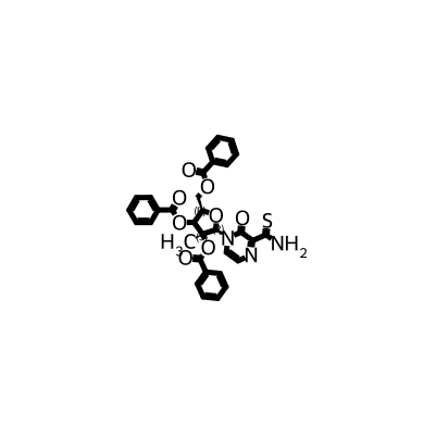 C[C@]1(OC(=O)c2ccccc2)C(OC(=O)c2ccccc2)[C@@H](COC(=O)c2ccccc2)O[C@H]1n1ccnc(C(N)=S)c1=O